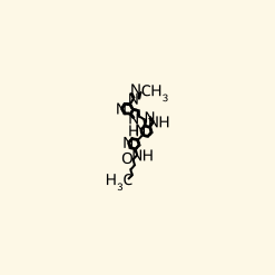 CCCCC(=O)Nc1cncc(-c2ccc3[nH]nc(-c4cc5c(-n6cnc(C)c6)cncc5[nH]4)c3n2)c1